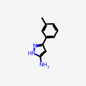 Cc1cccc(-c2cc(N)[nH]n2)c1